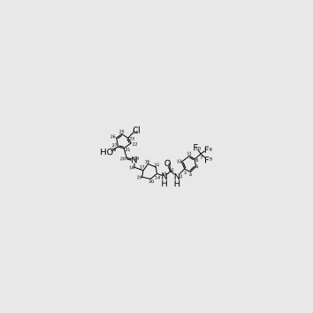 O=C(Nc1ccc(C(F)(F)F)cc1)NC1CCC(CN=Cc2cc(Cl)ccc2O)CC1